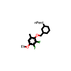 CCCCCC1CCCC(COc2c(C)cc(OCC)c(F)c2F)C1